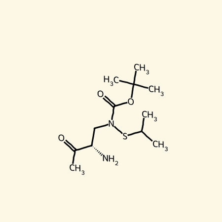 CC(=O)[C@@H](N)CN(SC(C)C)C(=O)OC(C)(C)C